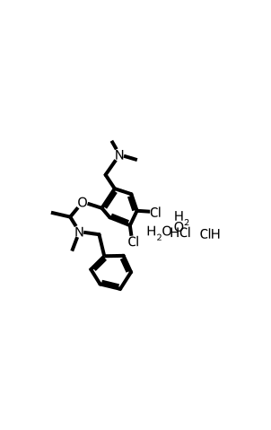 CC(Oc1cc(Cl)c(Cl)cc1CN(C)C)N(C)Cc1ccccc1.Cl.Cl.O.O